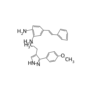 CCc1c[nH]nc1-c1ccc(OC)cc1.Nc1ccc(C=Cc2ccccc2)cc1N